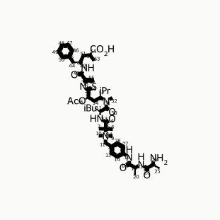 CC[C@H](C)[C@H](NC(=O)C(C)(C)[N+](C)(C)Cc1ccc(NC(=O)[C@H](C)NC(=O)[C@H](C)N)cc1)C(=O)N(C)[C@H](C[C@@H](OC(C)=O)c1nc(C(=O)N[C@@H](Cc2ccccc2)C[C@H](C)C(=O)O)cs1)C(C)C